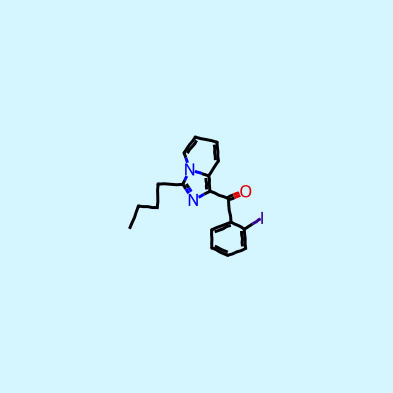 CCCCc1nc(C(=O)c2ccccc2I)c2ccccn12